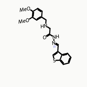 COc1ccc(CNCC(=O)N/N=C/c2csc3ccccc23)cc1OC